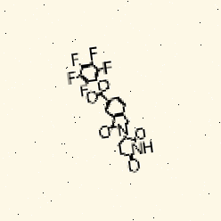 O=C1CCC(N2Cc3ccc(C(=O)Oc4c(F)c(F)c(F)c(F)c4F)cc3C2=O)C(=O)N1